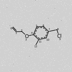 C=CCOc1ccc(CCl)cc1C